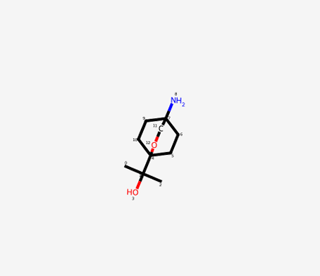 CC(C)(O)C12CCC(N)(CC1)CO2